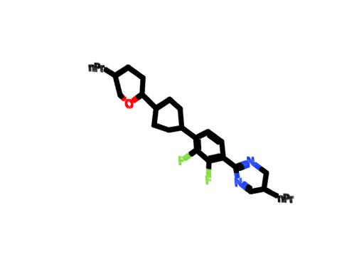 CCCC1C=NC(c2ccc(C3CCC(C4CCC(CCC)CO4)CC3)c(F)c2F)=NC1